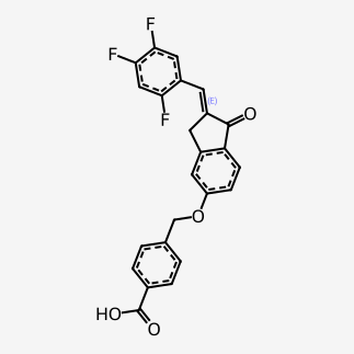 O=C(O)c1ccc(COc2ccc3c(c2)C/C(=C\c2cc(F)c(F)cc2F)C3=O)cc1